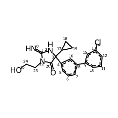 N=C1NC(c2cccc(-c3cccc(Cl)c3)c2)(C2CC2)C(=O)N1CCO